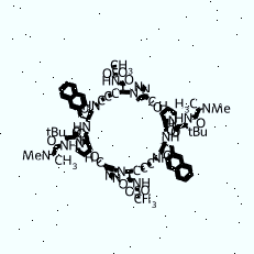 CN[C@@H](C)C(=O)N[C@H](C(=O)N1CC[C@H]2OCc3cn(nn3)[C@H](C(=O)NS(C)(=O)=O)CCCNC(=O)[C@H](Cc3ccc4ccccc4c3)NC(=O)[C@@H]3[C@@H](CCN3C(=O)[C@@H](NC(=O)[C@H](C)NC)C(C)(C)C)OCc3cn(nn3)[C@H](C(=O)NS(C)(=O)=O)CCCNC(=O)[C@H](Cc3ccc4ccccc4c3)NC(=O)[C@H]21)C(C)(C)C